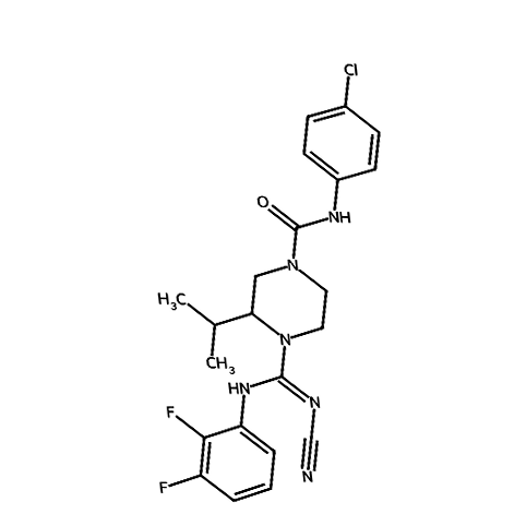 CC(C)C1CN(C(=O)Nc2ccc(Cl)cc2)CCN1/C(=N/C#N)Nc1cccc(F)c1F